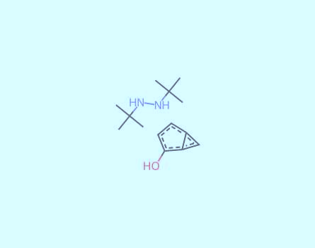 CC(C)(C)NNC(C)(C)C.Oc1ccc2cc1-2